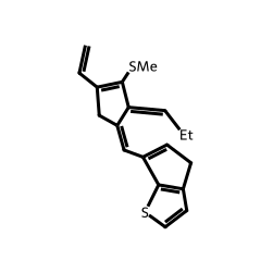 C=CC1=C(SC)C(=C/CC)/C(=C\C2=CCc3ccsc32)C1